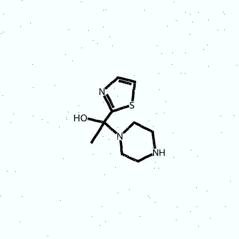 CC(O)(c1nccs1)N1CCNCC1